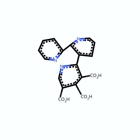 O=C(O)c1cnc(-c2cccnc2-c2ccccn2)c(C(=O)O)c1C(=O)O